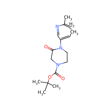 C=C(C)/N=C\C(=C/C)N1CCN(C(=O)OC(C)(C)C)CC1=O